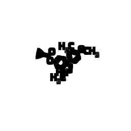 COc1ccc([C@@]23CC=C(OC(=O)C4CC4)C[C@@H]2N(C)CC3)cc1C